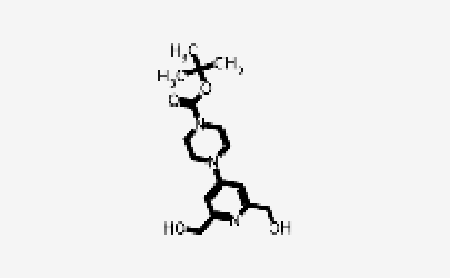 CC(C)(C)OC(=O)N1CCN(c2cc(CO)nc(CO)c2)CC1